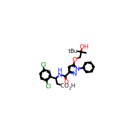 CC(C)(C)C(C)(O)COc1cc(C(=O)NC(CC(=O)O)c2cc(Cl)ccc2Cl)nn1-c1ccccc1